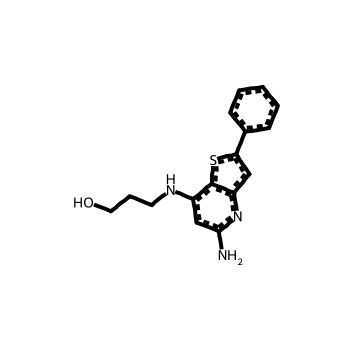 Nc1cc(NCCCO)c2sc(-c3ccccc3)cc2n1